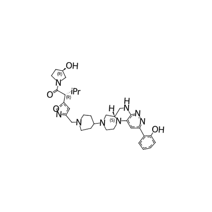 CC(C)[C@@H](C(=O)N1CC[C@@H](O)C1)c1cc(CN2CCC(N3CCN4c5cc(-c6ccccc6O)nnc5NC[C@H]4C3)CC2)no1